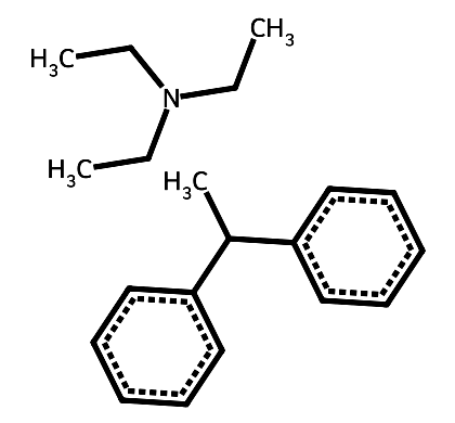 CC(c1ccccc1)c1ccccc1.CCN(CC)CC